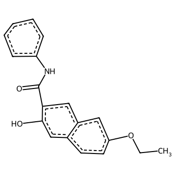 CCOc1ccc2cc(O)c(C(=O)Nc3ccccc3)cc2c1